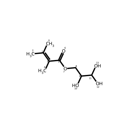 CC(C)=C(C)C(=O)OCC(O)C(O)O